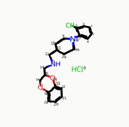 Cl.Clc1ccccc1N1CCC(CNCC2COc3ccccc3O2)CC1